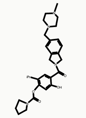 CC(C)c1cc(C(=O)N2Cc3ccc(CN4CCN(C)CC4)cc3C2)c(O)cc1OC(=O)N1CCCC1